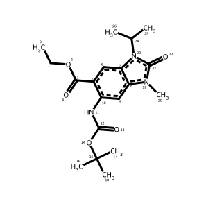 CCOC(=O)c1cc2c(cc1NC(=O)OC(C)(C)C)n(C)c(=O)n2C(C)C